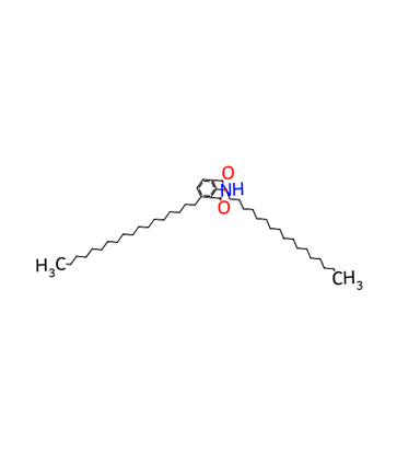 CCCCCCCCCCCCCCCCCCc1ccc2c(CCCCCCCCCCCCCCCCCC)c1C(=O)NC2=O